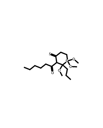 CCCCCC(=O)C1C(=S)CC[Si](OC)(OC)C1(CCC)OC